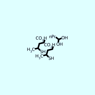 CC(S)CCC(=O)O.CC(S)CCC(=O)O.CCCC(O)O